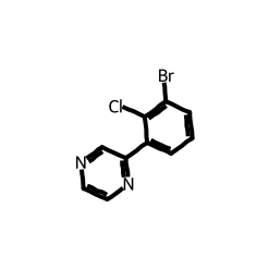 Clc1c(Br)cccc1-c1cnccn1